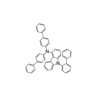 c1ccc(-c2ccc(N(c3ccc(-c4ccccc4)cc3)c3cccc4c3c3ccccc3n4-c3ccccc3-c3ccccc3)cc2)cc1